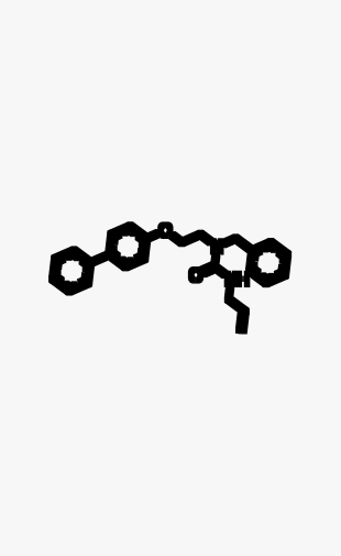 C=CCNC(=O)N(CCOc1ccc(-c2ccccc2)cc1)Cc1ccccc1